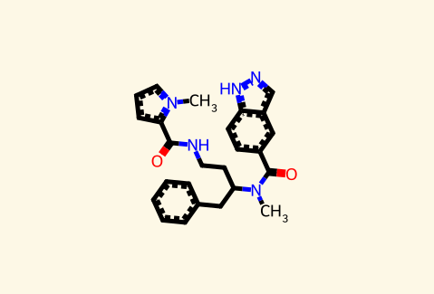 CN(C(=O)c1ccc2[nH]ncc2c1)C(CCNC(=O)c1cccn1C)Cc1ccccc1